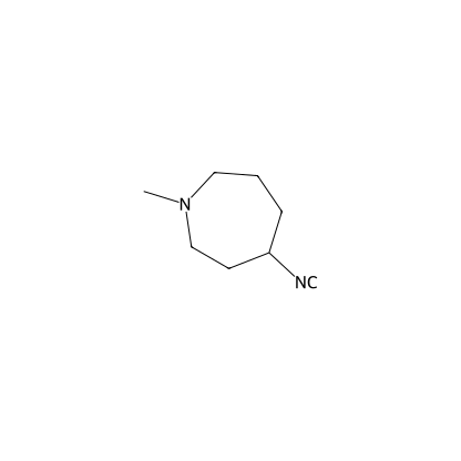 [C-]#[N+]C1CCCN(C)CC1